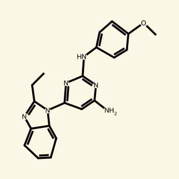 CCc1nc2ccccc2n1-c1cc(N)nc(Nc2ccc(OC)cc2)n1